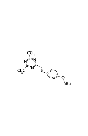 CCCCOc1ccc(/C=C/c2nc(C(Cl)(Cl)Cl)nc(C(Cl)(Cl)Cl)n2)cc1